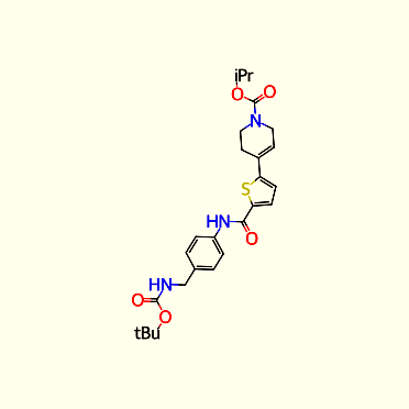 CC(C)OC(=O)N1CC=C(c2ccc(C(=O)Nc3ccc(CNC(=O)OC(C)(C)C)cc3)s2)CC1